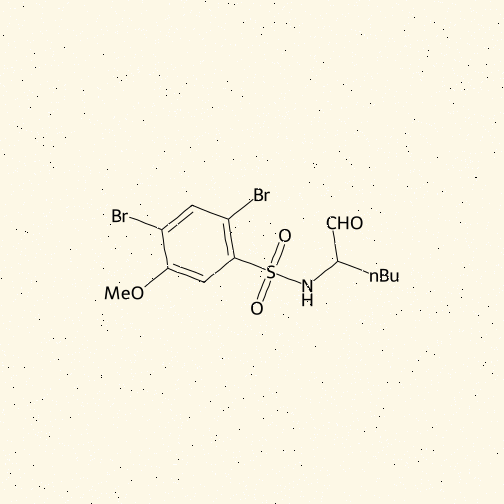 CCCCC(C=O)NS(=O)(=O)c1cc(OC)c(Br)cc1Br